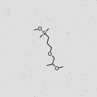 COC(C)COCCC[Si](C)(C)OC